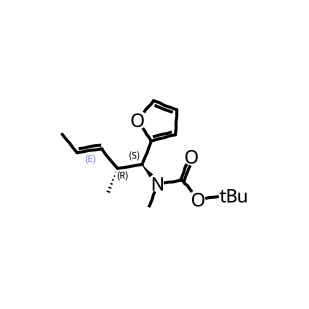 C/C=C/[C@@H](C)[C@@H](c1ccco1)N(C)C(=O)OC(C)(C)C